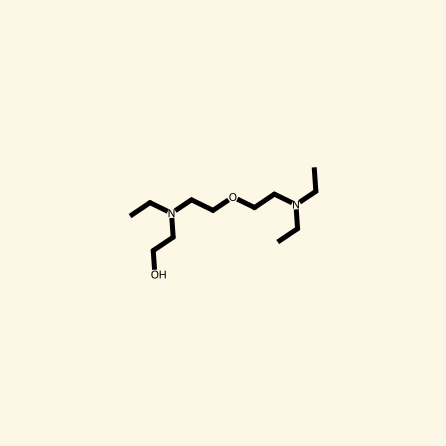 CCN(CC)CCOCCN(CC)CCO